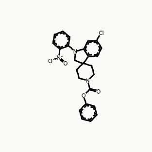 O=C(Oc1ccccc1)N1CCC2(CC1)CN(c1ccccc1[N+](=O)[O-])c1cc(Cl)ccc12